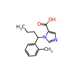 CCCC(c1ccccc1C)n1cncc1C(=O)O